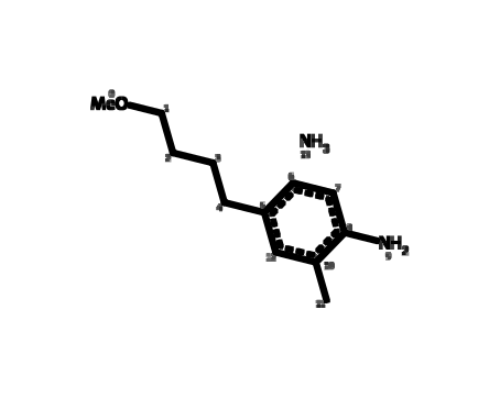 COCCCCc1ccc(N)c(C)c1.N